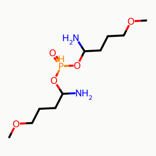 COCCCC(N)O[PH](=O)OC(N)CCCOC